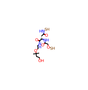 CC(C)(CCO)OCCNC(=O)[C@H](CC(=O)NS)NC(=O)COS